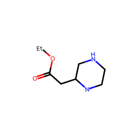 CCOC(=O)CC1CNCC[N]1